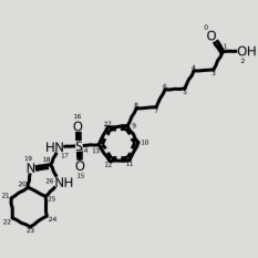 O=C(O)CCCCCCc1cccc(S(=O)(=O)NC2=NC3CCCCC3N2)c1